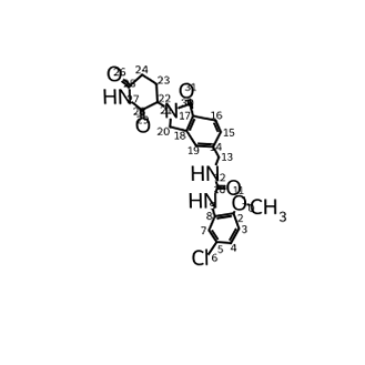 COc1ccc(Cl)cc1NC(=O)NCc1ccc2c(c1)CN(C1CCC(=O)NC1=O)C2=O